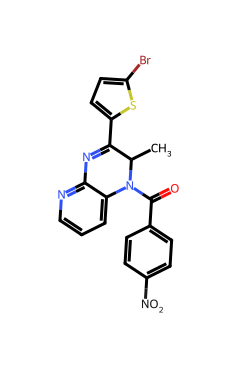 CC1C(c2ccc(Br)s2)=Nc2ncccc2N1C(=O)c1ccc([N+](=O)[O-])cc1